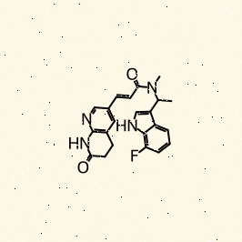 CC(c1c[nH]c2c(F)cccc12)N(C)C(=O)C=Cc1cnc2c(c1)CCC(=O)N2